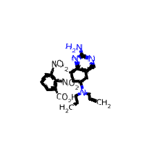 C=CCN(CC=C)C1CCc2nc(N)ncc2C1.O=C(O)c1cccc([N+](=O)[O-])c1[N+](=O)[O-]